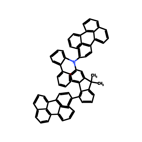 CC1(C)c2cc(N(c3ccc(-c4cccc5cccc(-c6ccccc6)c45)cc3)c3ccccc3-c3ccccc3)ccc2-c2c(-c3ccc(-c4cccc5cccc(-c6ccccc6)c45)cc3)cccc21